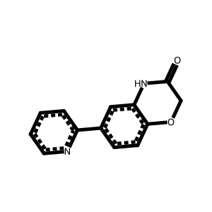 O=C1COc2ccc(-c3ccccn3)cc2N1